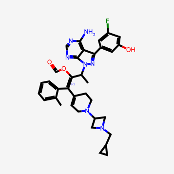 Cc1ccccc1/C(C1=CCN(C2CN(CC3CC3)C2)CC1)=C(\OC=O)C(C)n1nc(-c2cc(O)cc(F)c2)c2c(N)ncnc21